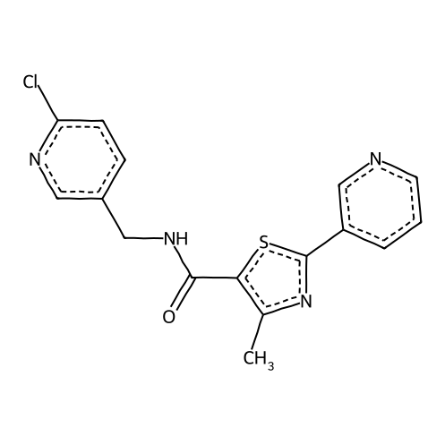 Cc1nc(-c2cccnc2)sc1C(=O)NCc1ccc(Cl)nc1